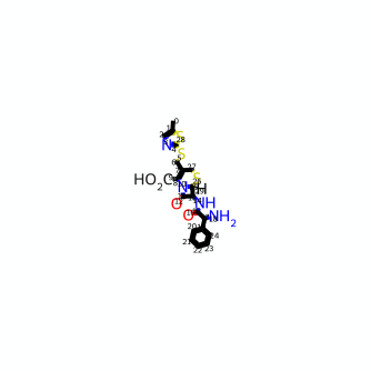 Cc1cnc(SCC2=C(C(=O)O)N3C(=O)C(NC(=O)C(N)c4ccccc4)[C@@H]3SC2)s1